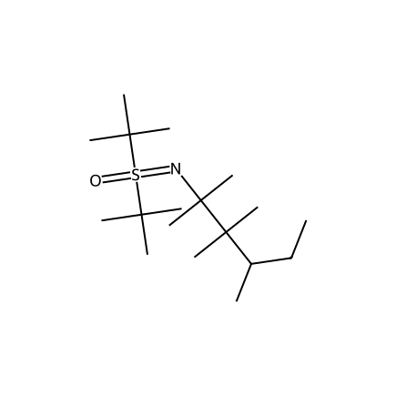 CCC(C)C(C)(C)C(C)(C)N=S(=O)(C(C)(C)C)C(C)(C)C